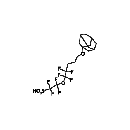 O=S(=O)(O)C(F)(F)C(F)(F)OC(F)(F)C(F)(F)CCCOC12CC3CC(CC(C3)C1)C2